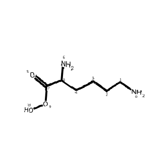 NCCCCC(N)C(=O)OO